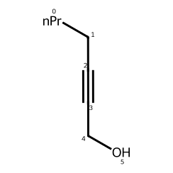 CCCCC#CCO